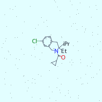 CCC1(C(C)C)Cc2ccc(Cl)cc2CN1C(=O)C1CC1